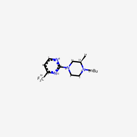 CCCCN1CCN(c2nccc(C(F)(F)F)n2)C[C@H]1C